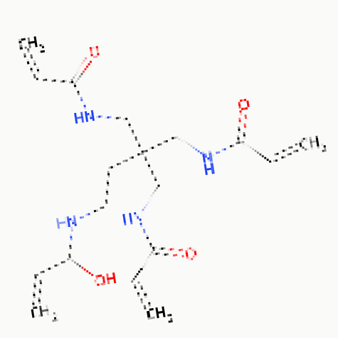 C=CC(=O)NCC(CCNC(O)C=C)(CNC(=O)C=C)CNC(=O)C=C